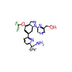 CCC[C@H](N)c1cccc(-c2cc(OC(F)F)c3cnn(-c4cncc(CO)n4)c3c2)n1